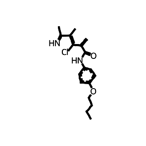 C=C(C(=O)Nc1ccc(OCCCC)cc1)/C(Cl)=C(\C)C(C)=N